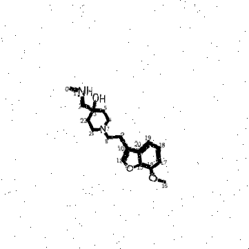 CNCC1(O)CCN(CCc2coc3c(OC)cccc23)CC1